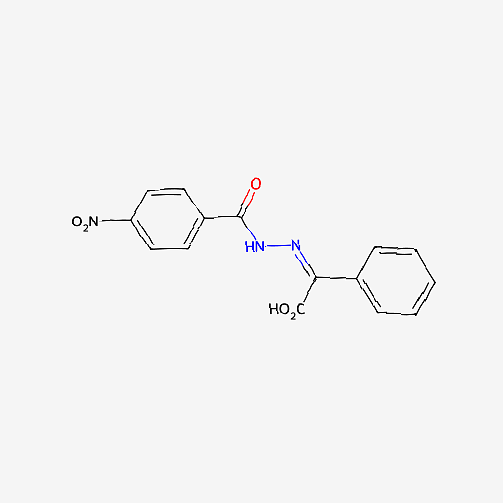 O=C(O)/C(=N\NC(=O)c1ccc([N+](=O)[O-])cc1)c1ccccc1